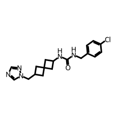 O=C(NCc1ccc(Cl)cc1)NC1CC2(CC(Cn3cncn3)C2)C1